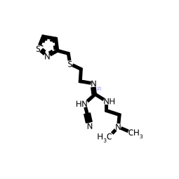 CN(C)CCN/C(=N/CCSCc1ccsn1)NC#N